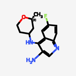 C[C@@H]1CC(Nc2c(N)cnc3ccc(F)cc23)CCO1